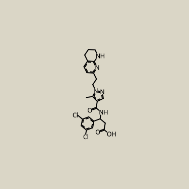 Cc1c(C(=O)NC(CC(=O)O)c2cc(Cl)cc(Cl)c2)cnn1CCc1ccc2c(n1)NCCC2